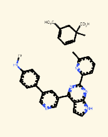 CC1(C(=O)O)C=CC=C(C(=O)O)C1.CCNc1ccc(-c2cncc(-c3nc(-c4cccc(C)n4)nc4[nH]ccc34)c2)cc1